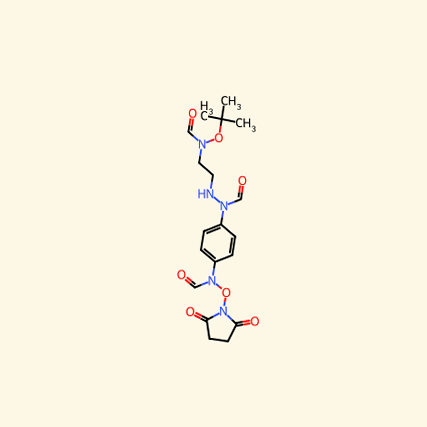 CC(C)(C)ON(C=O)CCNN(C=O)c1ccc(N(C=O)ON2C(=O)CCC2=O)cc1